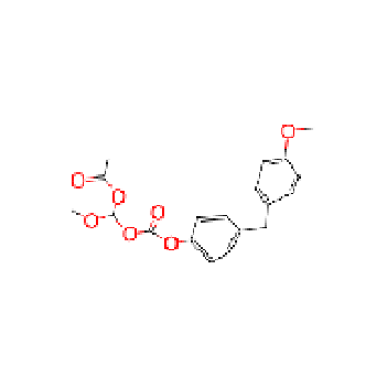 COc1ccc(Cc2ccc(OC(=O)OC(OC)OC(C)=O)cc2)cc1